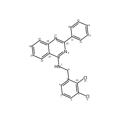 Clc1cccc(CNc2nc(-c3ccccc3)nc3ccccc23)c1Cl